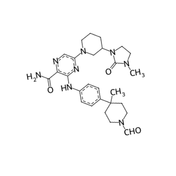 CN1CCN(C2CCCN(c3cnc(C(N)=O)c(Nc4ccc(C5(C)CCN(C=O)CC5)cc4)n3)C2)C1=O